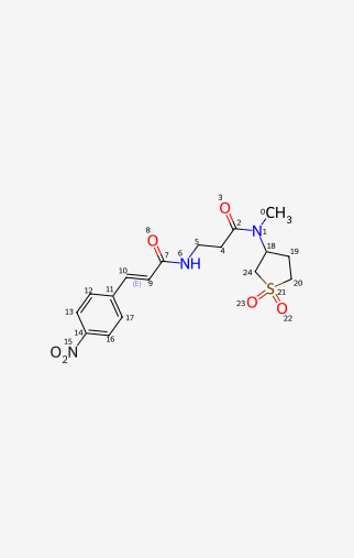 CN(C(=O)CCNC(=O)/C=C/c1ccc([N+](=O)[O-])cc1)C1CCS(=O)(=O)C1